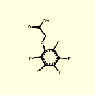 CCCC(=O)COc1c(F)c(F)c(F)c(F)c1F